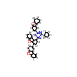 c1ccc2oc3c(c2c#1)C=C(c1ccc(-c2nc(-c4ccccc4)nc(-c4ccc5oc6ccccc6c5c4)n2)c2c1oc1ccccc12)CC3